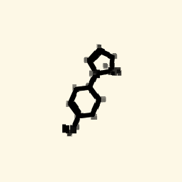 NC1=CCC(N2C=CCN2)CC1